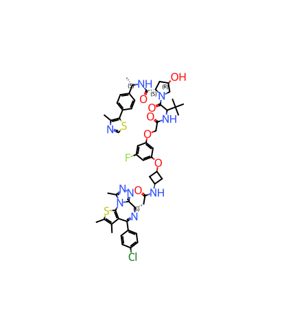 Cc1ncsc1-c1ccc([C@H](C)NC(=O)[C@@H]2C[C@@H](O)CN2C(=O)C(NC(=O)COc2cc(F)cc(O[C@H]3C[C@@H](NC(=O)C[C@@H]4N=C(c5ccc(Cl)cc5)c5c(sc(C)c5C)-n5c(C)nnc54)C3)c2)C(C)(C)C)cc1